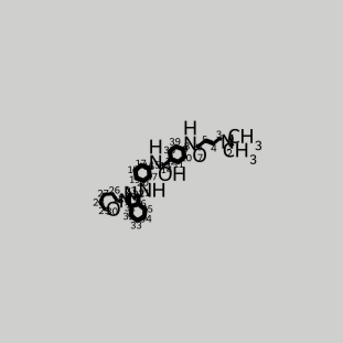 CN(C)C/C=C/C(=O)Nc1ccc(C(O)Nc2cccc(Nc3nn(C4CCCCO4)c4ccccc34)c2)cc1